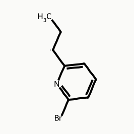 CC[CH]c1cccc(Br)n1